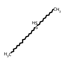 CCCCCCCCCCCCCCCCCCSC(S)CCCCCCCCCCC